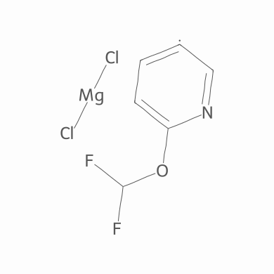 FC(F)Oc1cc[c]cn1.[Cl][Mg][Cl]